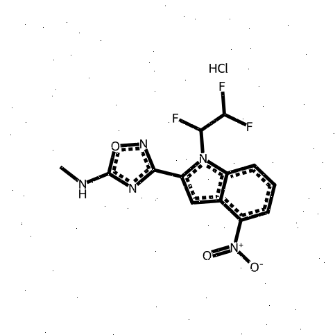 CNc1nc(-c2cc3c([N+](=O)[O-])cccc3n2C(F)C(F)F)no1.Cl